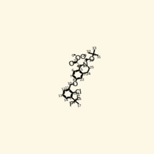 COC(=O)[C@H]1c2ccc(OCc3cccc(C(C)(F)F)c3Cl)cc2CCN1C(=O)OC(C)(C)C